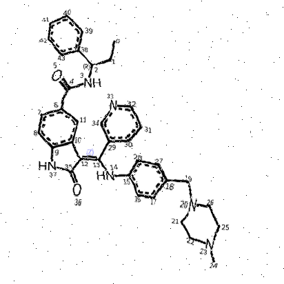 CC[C@@H](NC(=O)c1ccc2c(c1)/C(=C(/Nc1ccc(CN3CCN(C)CC3)cc1)c1cccnc1)C(=O)N2)c1ccccc1